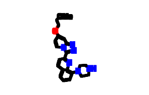 COCCOc1ccn2c(-c3ccc4cccc(N5CCNCC5)c4n3)nnc2c1